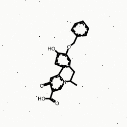 CC1Cc2cc(OCc3ccccc3)c(O)cc2-c2cc(=O)c(C(=O)O)cn21